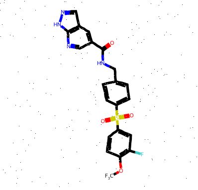 O=C(NCc1ccc(S(=O)(=O)c2ccc(OC(F)(F)F)c(F)c2)cc1)c1cnc2[nH]ncc2c1